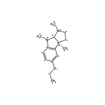 CCOc1ccc2c(c1)[C@]1(C)CCN(C)C1N2C